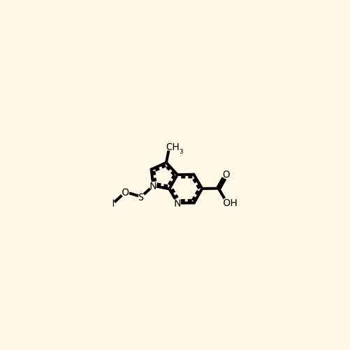 Cc1cn(SOI)c2ncc(C(=O)O)cc12